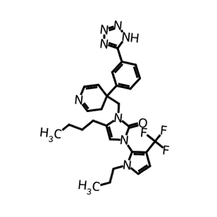 CCCCc1cn(-c2c(C(F)(F)F)ccn2CCC)c(=O)n1CC1(c2cccc(-c3nnn[nH]3)c2)C=CN=CC1